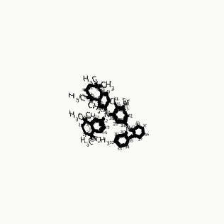 CC1(C)CCC(C)(C)c2cc(N(c3ccc4c(c3)C(C)(C)CCC4(C)C)c3cc(-n4c5ccccc5c5ccccc54)cc(Br)c3Cl)ccc21